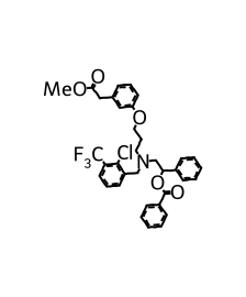 COC(=O)Cc1cccc(OCCCN(Cc2cccc(C(F)(F)F)c2Cl)CC(OC(=O)c2ccccc2)c2ccccc2)c1